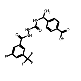 CC(NC(=O)NNC(=O)c1cc(F)cc(C(F)(F)F)c1)c1ccc(C(=O)O)cc1